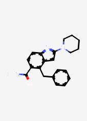 NC(=O)c1ccc2[nH]c(N3CCCCC3)cc2c1Cc1ccccc1